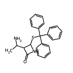 CC(N)C1C(=O)NC1SC(c1ccccc1)(c1ccccc1)c1ccccc1